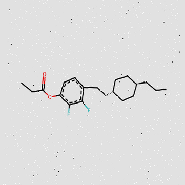 CCC[C@H]1CC[C@H](CCc2ccc(OC(=O)CC)c(F)c2F)CC1